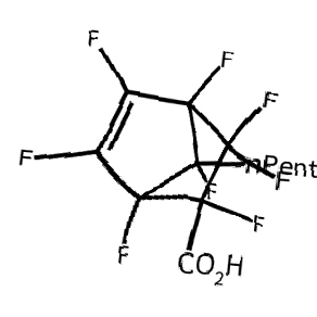 CCCCCC1(F)C2(F)C(F)=C(F)C1(F)C(F)(C(=O)O)C2(F)F